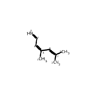 CC(C)=C/C(C)=C\C=N